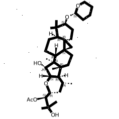 CC(=O)O[C@@H]([C@H]1C[C@@H](C)[C@H]2[C@H](O1)[C@H](O)[C@@]1(C)[C@@H]3CC[C@H]4C(C)(C)[C@@H](O[C@H]5CCCCO5)CC[C@@]45C[C@@]35CC[C@]21C)C(C)(C)O